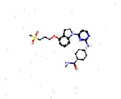 CNC(=O)[C@H]1CC[C@H](Nc2nccc(N3CCc4c(OCCCS(C)(=O)=O)cccc43)n2)CC1